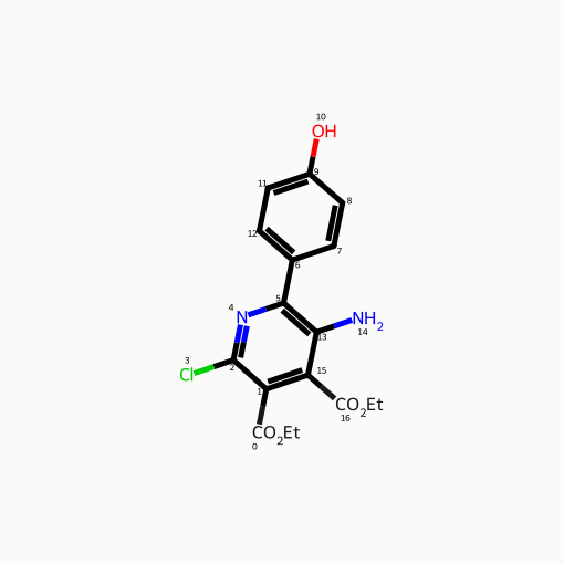 CCOC(=O)c1c(Cl)nc(-c2ccc(O)cc2)c(N)c1C(=O)OCC